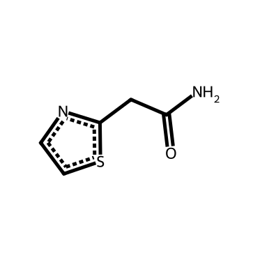 NC(=O)Cc1nccs1